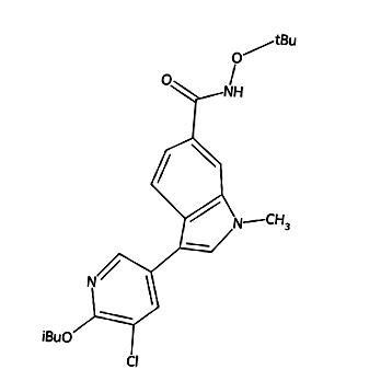 CC(C)COc1ncc(-c2cn(C)c3cc(C(=O)NOC(C)(C)C)ccc23)cc1Cl